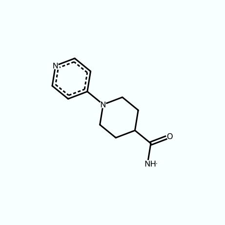 [NH]C(=O)C1CCN(c2ccncc2)CC1